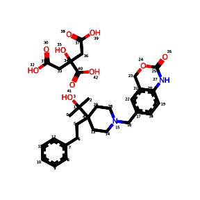 CC(C)(O)C1(CCc2ccccc2)CCN(Cc2ccc3c(c2)COC(=O)N3)CC1.O=C(O)CC(O)(CC(=O)O)C(=O)O